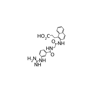 N=C(N)Nc1cccc(C(=O)NCC(=O)Nc2ccc3ccccc3c2CCC(=O)O)c1